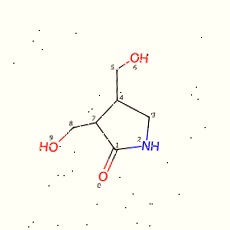 O=C1NCC(CO)C1CO